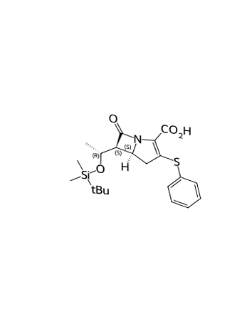 C[C@@H](O[Si](C)(C)C(C)(C)C)[C@H]1C(=O)N2C(C(=O)O)=C(Sc3ccccc3)C[C@@H]12